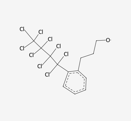 [O]CCCc1ccccc1C(Cl)(Cl)C(Cl)(Cl)C(Cl)(Cl)C(Cl)(Cl)Cl